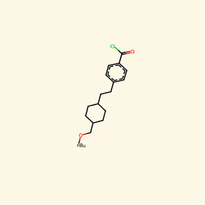 CCCCOCC1CCC(CCc2ccc(C(=O)Cl)cc2)CC1